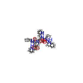 CC(C)[C@H](NC(=O)c1ccc2ccccc2n1)C(=O)N[C@@H](Cc1ccccc1)[C@H](O)CN1CC[C@@H](S(=O)(=O)Cc2ccccn2)C[C@H]1C(=O)NC(C)(C)C